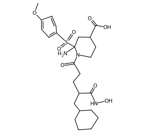 COc1ccc(S(=O)(=O)C2(N)CC(C(=O)O)CCN2C(=O)CCC(CC2CCCCC2)C(=O)NO)cc1